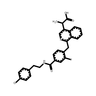 CC(C(=O)O)c1cnc(Cc2ccc(C(=O)NCCc3ccc(Cl)cc3)cc2F)c2ccccc12